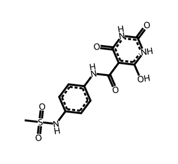 CS(=O)(=O)Nc1ccc(NC(=O)c2c(O)[nH]c(=O)[nH]c2=O)cc1